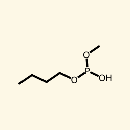 CCCCOP(O)OC